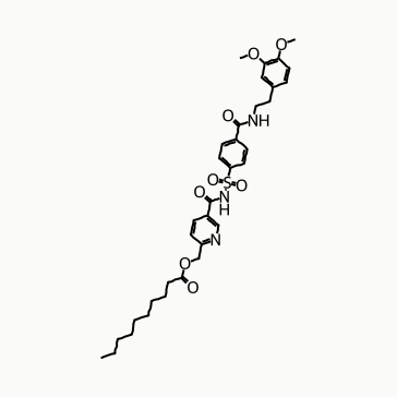 CCCCCCCCCC(=O)OCc1ccc(C(=O)NS(=O)(=O)c2ccc(C(=O)NCCc3ccc(OC)c(OC)c3)cc2)cn1